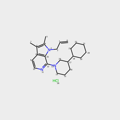 C=CCn1c(C)c(C)c2ccnc(N3CCCC(C4CCCCC4)C3)c21.Cl